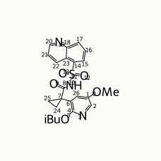 COc1cnc(OCC(C)C)c(C2(C(=O)NS(=O)(=O)c3cccc4ncccc34)CC2)c1